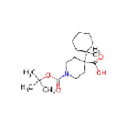 CC(C)(C)OC(=O)N1CCC(C(=O)O)(C2(C)CCCCC2)CC1